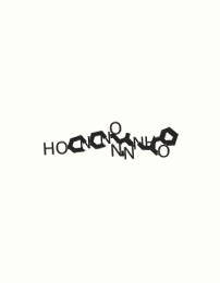 Cc1c(NCC2COc3ccccc3C2)ncnc1C(=O)N1CCC(N2CCC(O)CC2)CC1